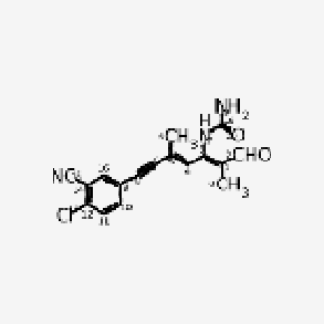 C/C(C=O)=C(\C=C(/C)C#Cc1ccc(Cl)c(C#N)c1)NC(N)=O